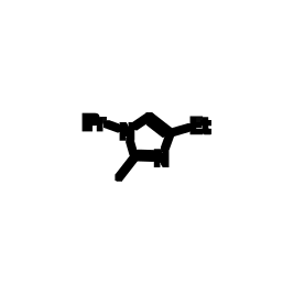 CCc1cn(C(C)C)c(C)n1